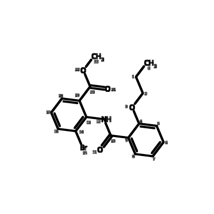 CCCOc1ccccc1C(=O)Nc1c(Br)cccc1C(=O)OC